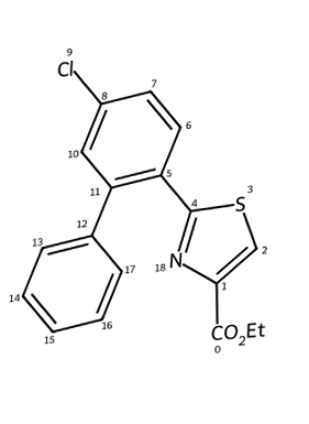 CCOC(=O)c1csc(-c2ccc(Cl)cc2-c2ccccc2)n1